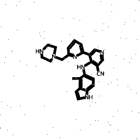 Cc1c(Nc2c(C#N)cncc2-c2cccc(CN3CCNCC3)n2)ccc2[nH]ccc12